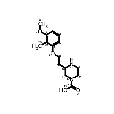 COc1cccc(OCCC2CN(C(=O)O)CCN2)c1C